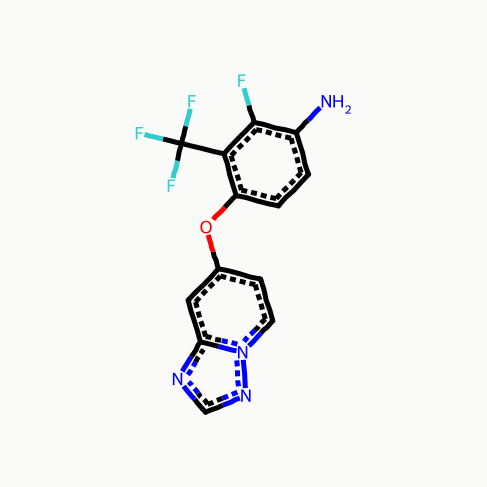 Nc1ccc(Oc2ccn3ncnc3c2)c(C(F)(F)F)c1F